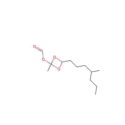 CCCC(C)CCCC1OC(C)(OC=O)O1